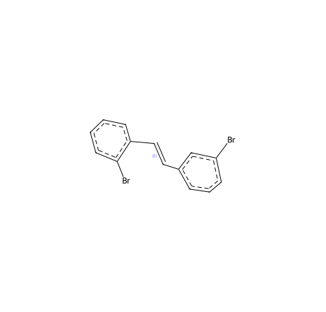 Brc1cccc(/C=C/c2ccccc2Br)c1